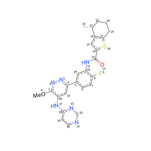 COc1nnc(-c2ccc(F)c(NC(=O)c3cc4c(s3)CCC[C@H]4C)c2)cc1Nc1ccncn1